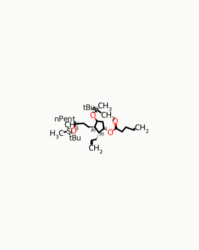 C=CCCC(=O)O[C@H]1CC(O[Si](C)(C)C(C)(C)C)[C@H](CC[C@H](CCCCC)O[Si](C)(C)C(C)(C)C)[C@H]1CC=C